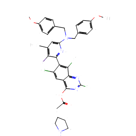 COc1ccc(CN(Cc2ccc(OC)cc2)c2cc(C)c(I)c(-c3c(Cl)cc4c(OC(=O)C[C@@H]5CCNC5)nc(F)nc4c3F)n2)cc1